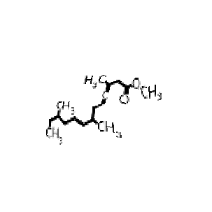 CCC(C)CCCC(C)CC=C=C(C)CC(=O)OC